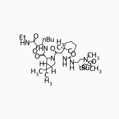 CCCCC(NC(=O)[C@@H]1[C@@H]2[C@H](CN1C(=O)[C@@H](NC(=O)N[C@H](CN(C)S(C)(=O)=O)C(C)(C)C)C1(C)CCCCC1)C2(C)C)C(=O)C(=O)NCC